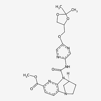 COC(=O)c1ccc2c(n1)N(C(=O)Nc1cnc(OCC3COC(C)(C)O3)cn1)[C@H]1CCN2C1